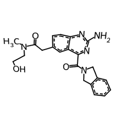 CN(CCO)C(=O)Cc1ccc2nc(N)nc(C(=O)N3Cc4ccccc4C3)c2c1